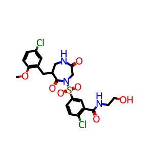 COc1ccc(Cl)cc1CC1CNC(=O)CN(S(=O)(=O)c2ccc(Cl)c(C(=O)NCCO)c2)C1=O